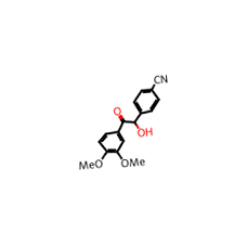 COc1ccc(C(=O)C(O)c2ccc(C#N)cc2)cc1OC